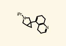 CC(C)N1CC2CC2(C2=CCCC3=C2CCC=N3)C1